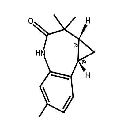 Cc1ccc2c(c1)NC(=O)C(C)(C)[C@@H]1C[C@H]21